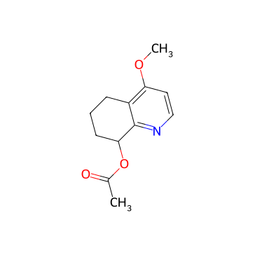 COc1ccnc2c1CCCC2OC(C)=O